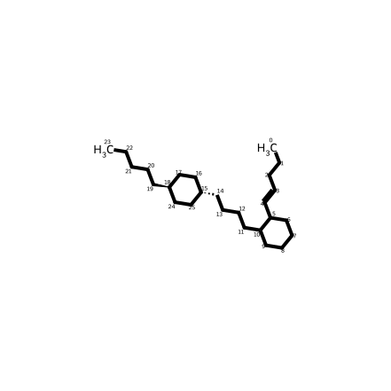 CCCC=CC1CCCCC1CCCC[C@H]1CC[C@H](CCCCC)CC1